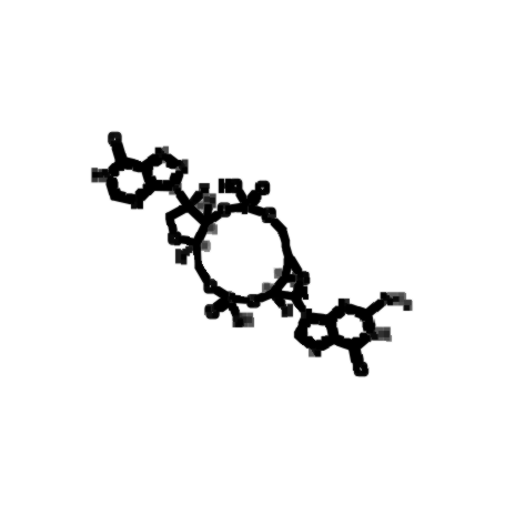 Nc1nc2c(ncn2C2OC3COP(=O)(O)O[C@@H]4[C@@H](COP(=O)(S)O[C@@H]2[C@@H]3F)OC[C@]4(F)n2nnc3c(=O)[nH]cnc32)c(=O)[nH]1